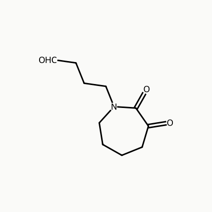 O=CCCCN1CCCCC(=O)C1=O